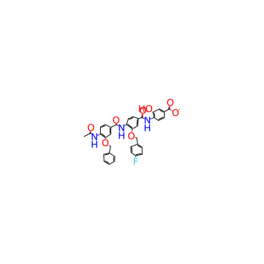 COC(=O)c1ccc(NC(=O)c2ccc(NC(=O)c3ccc(NC(C)=O)c(OCc4ccccc4)c3)c(OCc3ccc(F)cc3)c2)c(O)c1